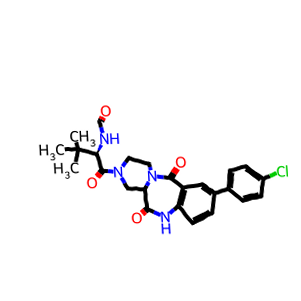 CC(C)(C)[C@@H](NC=O)C(=O)N1CCN2C(=O)c3cc(-c4ccc(Cl)cc4)ccc3NC(=O)C2C1